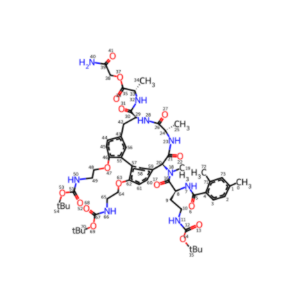 Cc1ccc(C(=O)N[C@@H](CCNC(=O)OC(C)(C)C)C(=O)N(C)[C@@H]2C(=O)N[C@@H](C)C(=O)N[C@H](C(=O)N[C@@H](C)C(=O)OCC(N)=O)Cc3ccc(OCCNC(=O)OC(C)(C)C)c(c3)-c3cc2ccc3OCCNC(=O)OC(C)(C)C)c(C)c1